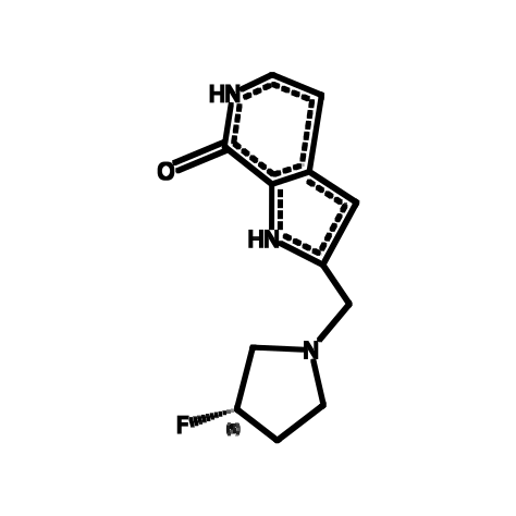 O=c1[nH]ccc2cc(CN3CC[C@H](F)C3)[nH]c12